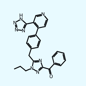 CCCn1nc(C(=O)c2ccccc2)nc1Cc1ccc(-c2ccncc2-c2nnn[nH]2)cc1